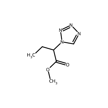 CCC(C(=O)OC)n1cnnn1